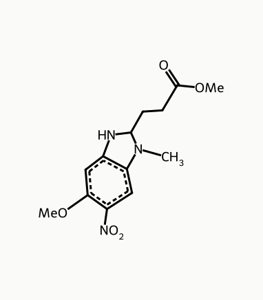 COC(=O)CCC1Nc2cc(OC)c([N+](=O)[O-])cc2N1C